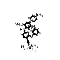 COc1cc(N2CCN(C)CC2)ccc1Nc1ccc(C#C[Si](C)(C)C)c(Oc2cccc(N)c2)n1